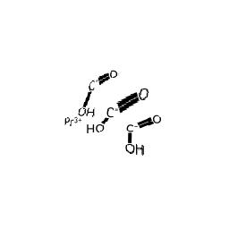 O=[C-]O.O=[C-]O.O=[C-]O.[Pr+3]